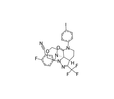 N#Cc1cc(N2N=C(C(F)(F)F)[C@@H]3CCN(c4ccc(I)cc4)C(=O)[C@@]32N2CCOCC2)ccc1F